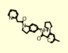 Cc1ccc(C(=O)Nc2ccc3c(c2)CCN3C(=O)Cc2ccccn2)c(N2CCCC2)c1